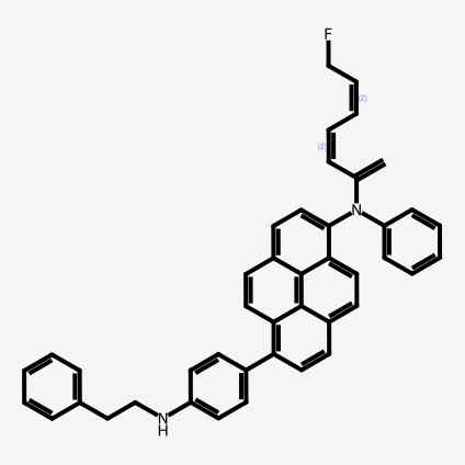 C=C(/C=C\C=C/CF)N(c1ccccc1)c1ccc2ccc3c(-c4ccc(NCCc5ccccc5)cc4)ccc4ccc1c2c43